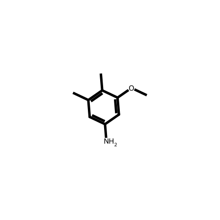 COc1cc(N)cc(C)c1C